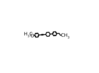 CCCc1ccc(C2CCC(C#Cc3ccc(OC)cc3)CC2)cc1